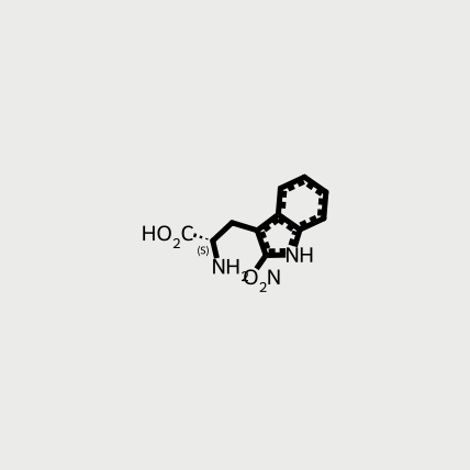 N[C@@H](Cc1c([N+](=O)[O-])[nH]c2ccccc12)C(=O)O